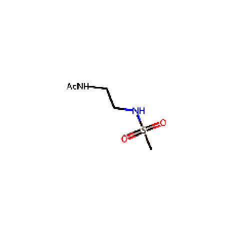 CC(=O)NCCNS(C)(=O)=O